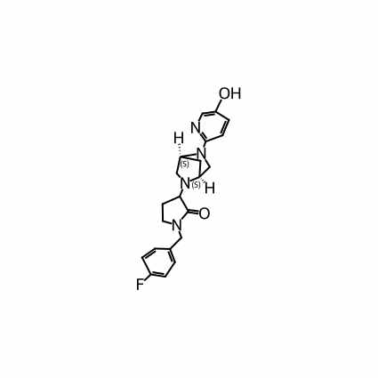 O=C1C(N2C[C@@H]3C[C@H]2CN3c2ccc(O)cn2)CCN1Cc1ccc(F)cc1